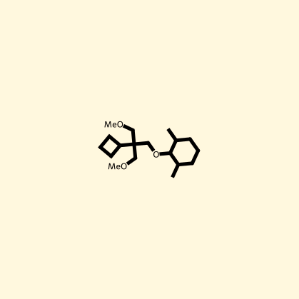 COCC(COC)(COC1C(C)CCCC1C)C1CCC1